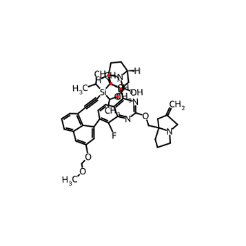 C=C1CN2CCCC2(COc2nc(N3C[C@H]4CC[C@@H](C3)N4C(=O)O)c3ccc(-c4cc(OCOC)cc5cccc(C#C[Si](C(C)C)(C(C)C)C(C)C)c45)c(F)c3n2)C1